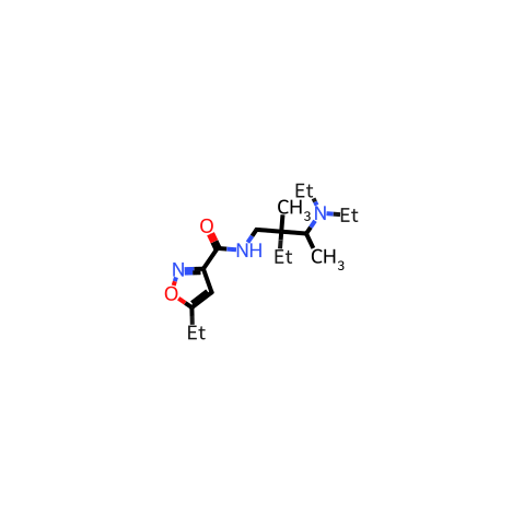 CCc1cc(C(=O)NCC(C)(CC)C(C)N(CC)CC)no1